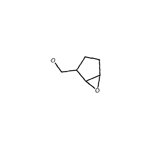 [O]CC1CCC2OC12